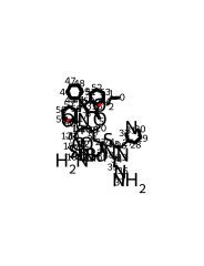 C=CCOC(=O)C(N1C(=O)[C@H]([C@@H](C)O[Si](C)(C)C(C)(C)C)[C@H]1[C@@H](C)C(=O)c1sc2c(-c3cccnc3)nc(C=NN)n2c1C=NN)=P(c1ccccc1)(c1ccccc1)c1ccccc1